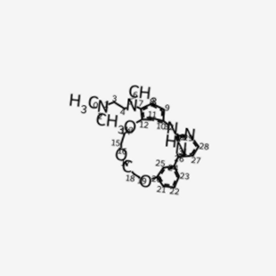 CN(C)CCN(C)c1ccc2cc1OCCOCCOc1cccc(c1)-c1ccnc(n1)N2